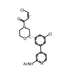 CC(=O)Nc1cc(-c2cc(Cl)cc([C@H]3CN(C(=O)/C=C\Cl)CCO3)c2)ccn1